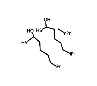 CC(C)CCCCC(O)S.CC(C)CCCCC(O)S.CCCC